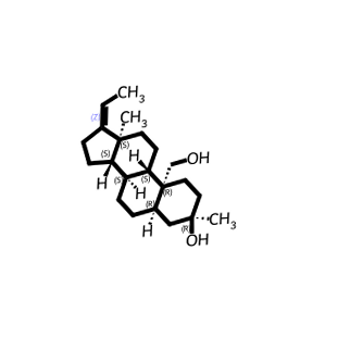 C/C=C1/CC[C@H]2[C@@H]3CC[C@@H]4C[C@](C)(O)CC[C@]4(CO)[C@H]3CC[C@]12C